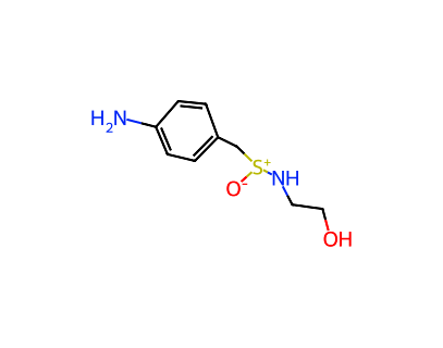 Nc1ccc(C[S+]([O-])NCCO)cc1